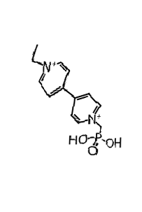 CC[n+]1ccc(-c2cc[n+](CP(=O)(O)O)cc2)cc1